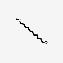 [CH2]OCCCCCCCCCCC[O]